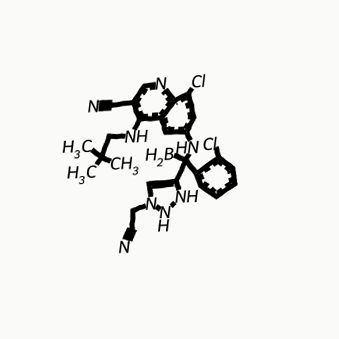 BC(Nc1cc(Cl)c2ncc(C#N)c(NCC(C)(C)C)c2c1)(C1=CN(CC#N)NN1)c1ccccc1Cl